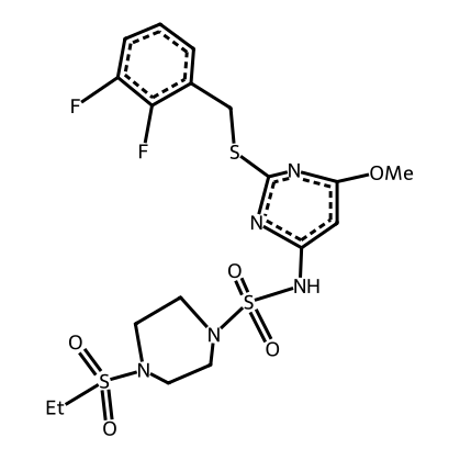 CCS(=O)(=O)N1CCN(S(=O)(=O)Nc2cc(OC)nc(SCc3cccc(F)c3F)n2)CC1